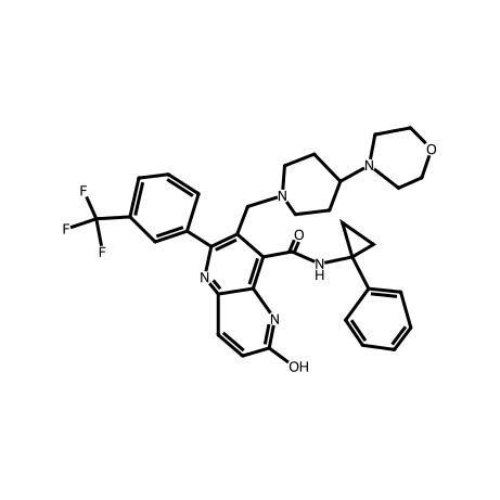 O=C(NC1(c2ccccc2)CC1)c1c(CN2CCC(N3CCOCC3)CC2)c(-c2cccc(C(F)(F)F)c2)nc2ccc(O)nc12